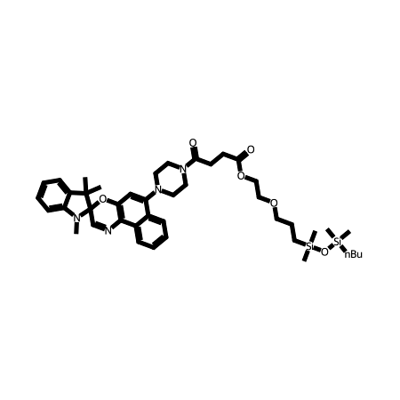 CCCC[Si](C)(C)O[Si](C)(C)CCCOCCOC(=O)CCC(=O)N1CCN(c2cc3c(c4ccccc24)N=CC2(O3)N(C)c3ccccc3C2(C)C)CC1